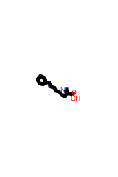 O=C(O)c1ccc(C=CC=Cc2ccccc2)nc1